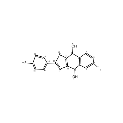 OC1c2cc(F)ccc2C(O)c2sc(-c3ccc(F)cc3)nc21